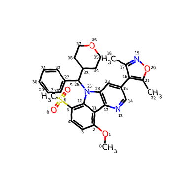 COc1ccc(S(C)(=O)=O)c2c1c1ncc(-c3c(C)noc3C)cc1n2C(c1ccccc1)C1CCOCC1